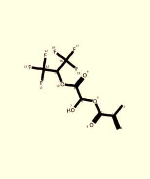 C=C(C)C(=O)OC(O)C(=O)OC(C(F)(F)F)C(F)(F)F